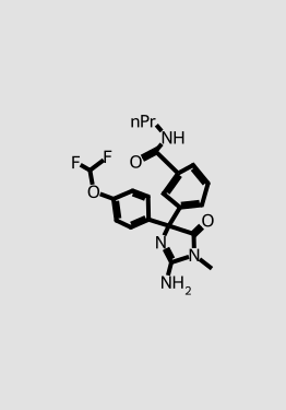 CCCNC(=O)c1cccc(C2(c3ccc(OC(F)F)cc3)N=C(N)N(C)C2=O)c1